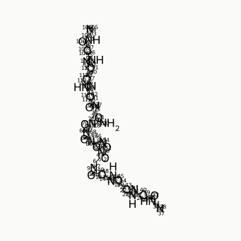 CC(=O)N(CCCCN(C)C(=O)c1ccc(-c2nc3cc(-c4ccc5[nH]c(-c6ccc(C(=O)NCCN(C)C)cc6)nc5c4)ccc3[nH]2)cc1)CC(=O)N(C)[C@@H](C)C(=O)N(C)[C@@H](C)C(=O)N(C)[C@@H](C)C(=O)N(CCCCN(C)C(=O)c1ccc(-c2nc3cc(-c4ccc5[nH]c(-c6ccc(C(=O)NCCN(C)C)cc6)nc5c4)ccc3[nH]2)cc1)CC(N)=O